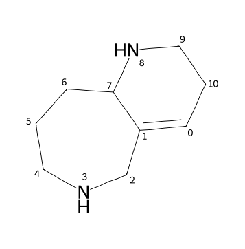 C1=C2CNCCCC2NCC1